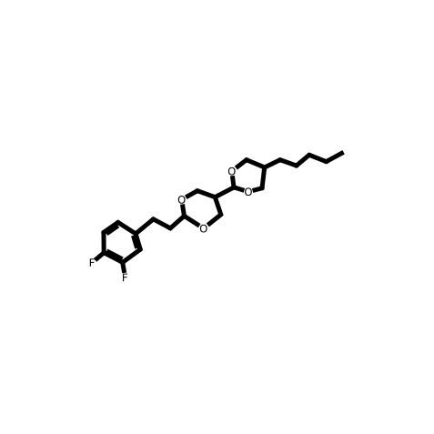 CCCCCC1COC(C2COC(CCc3ccc(F)c(F)c3)OC2)OC1